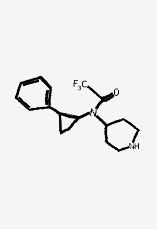 O=C(N(C1CCNCC1)C1CC1c1ccccc1)C(F)(F)F